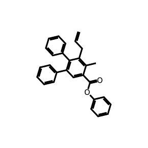 C=CCc1c(C)c(C(=O)Oc2ccccc2)cc(-c2ccccc2)c1-c1ccccc1